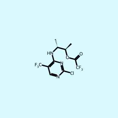 C[C@@H](Nc1nc(Cl)ncc1C(F)(F)F)[C@@H](C)OC(=O)C(F)(F)F